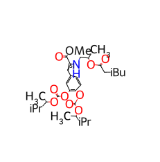 CCC(C)CC(=O)OC(C)CN[C@@H](Cc1ccc(OC(=O)OC(C)C(C)C)c(OC(=O)OC(C)C(C)C)c1)C(=O)OC